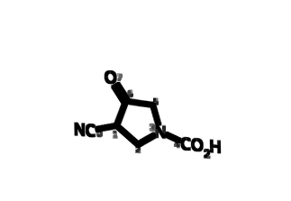 N#CC1CN(C(=O)O)CC1=O